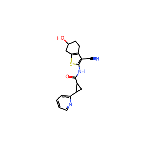 N#Cc1c(NC(=O)C2CC2c2ccccn2)sc2c1CCC(O)C2